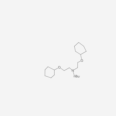 CCC[CH]N(CCOC1CCCCC1)CCOC1CCCCC1